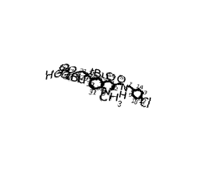 Cn1cc(C(=O)NCc2ccc(Cl)cc2)c(=O)c2cc(C(CCOP(=O)(O)O)(C(C)(C)C)C(C)(C)C)ccc21